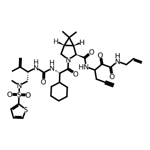 C#CCC(NC(=O)[C@@H]1[C@@H]2[C@H](CN1C(=O)[C@@H](NC(=O)N[C@H](CN(C)S(=O)(=O)c1cccs1)C(=C)C)C1CCCCC1)C2(C)C)C(=O)C(=O)NCC=C